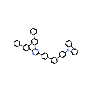 c1ccc(-c2ccc3c(c2)c2cc(-c4ccccc4)ccc2c2nc(-c4ccc(-c5cccc(-c6ccc(-n7c8ccccc8c8ccccc87)cc6)c5)cc4)cnc32)cc1